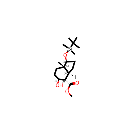 COC(=O)[C@@H]1[C@@H](O)CC[C@]2(C)[C@@H](O[Si](C)(C)C(C)(C)C)CC[C@@H]12